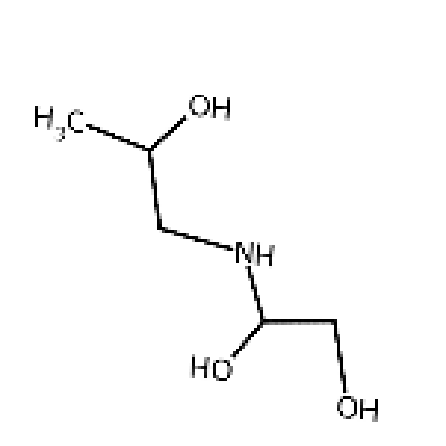 CC(O)CNC(O)CO